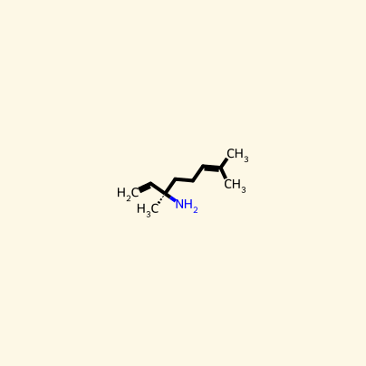 C=C[C@](C)(N)CCC=C(C)C